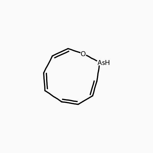 C1=CC=CO[AsH]C=CC=C1